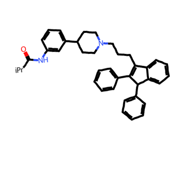 CC(C)C(=O)Nc1cccc(C2CCN(CCCC3=C(c4ccccc4)C(c4ccccc4)c4ccccc43)CC2)c1